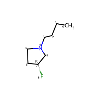 CCCCN1CC[C@@H](F)C1